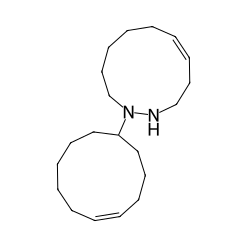 C1=CCCCC(N2CCCCCC=CCCN2)CCCCC1